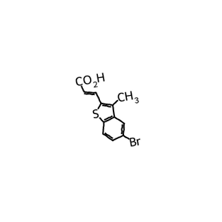 Cc1c(C=CC(=O)O)sc2ccc(Br)cc12